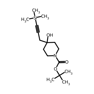 CC(C)(C)OC(=O)N1CCC(O)(CC#C[Si](C)(C)C)CC1